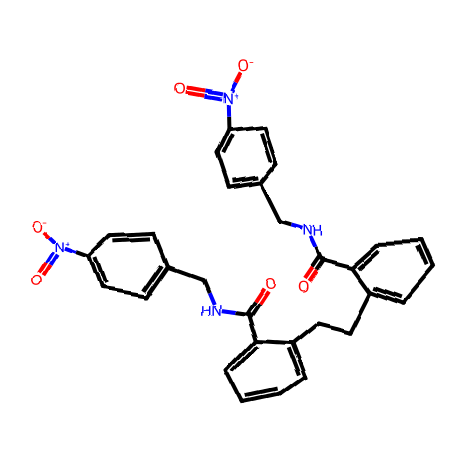 O=C(NCc1ccc([N+](=O)[O-])cc1)c1ccccc1CCc1ccccc1C(=O)NCc1ccc([N+](=O)[O-])cc1